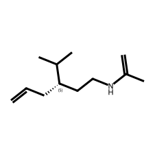 C=CC[C@@H](CCNC(=C)C)C(C)C